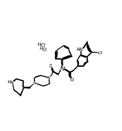 Cl.Cl.O=C(CN(C(=O)c1ccc2c(Cl)c[nH]c2c1)c1ccccc1)N1CCN(CC2CCNCC2)CC1